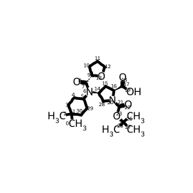 CC1(C)CCC(N(C(=O)[C@@H]2CCCO2)[C@H]2C[C@@H](C(=O)O)N(C(=O)OC(C)(C)C)C2)CC1